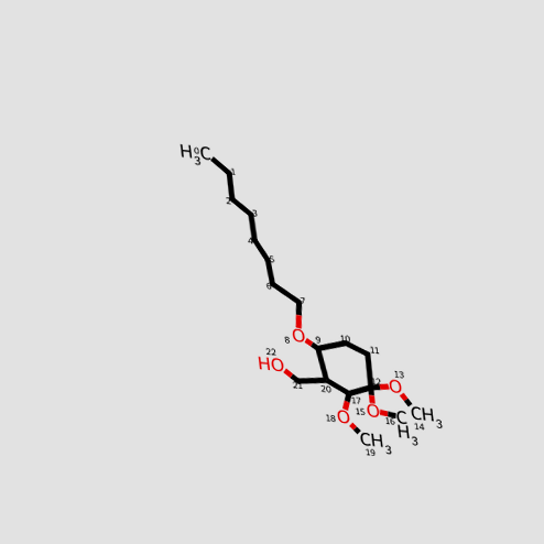 CCCCCCCCOC1CCC(OC)(OC)C(OC)C1CO